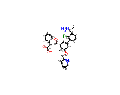 C[C@H](N)c1cccc(-c2cc(COc3ccccc3CC(=O)O)cc(OCc3ccccn3)c2)c1F